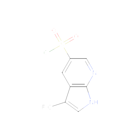 O=S(=O)(Cl)c1cnc2[nH]cc(C(F)(F)F)c2c1